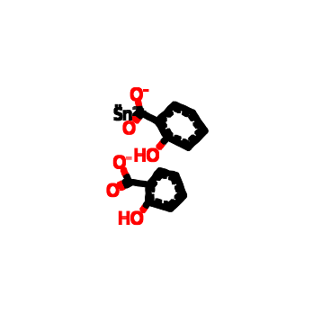 O=C([O-])c1ccccc1O.O=C([O-])c1ccccc1O.[Sn+2]